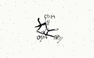 CC1(C)S[C@H]2N(C(=O)[C@@]2(N)[N+](=O)[O-])[C@H]1C(=O)O